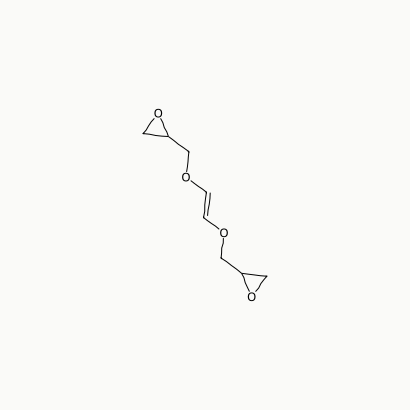 C(=COCC1CO1)OCC1CO1